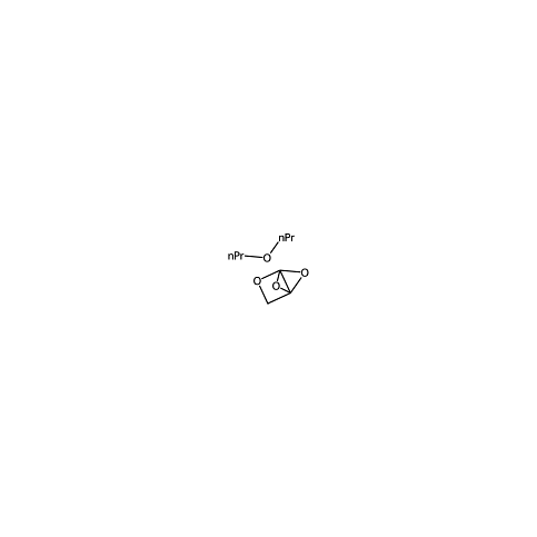 C1OC23OC12O3.CCCOCCC